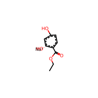 CCOC(=O)c1ccc(O)cc1.[Na+].[OH-]